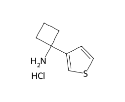 Cl.NC1(c2ccsc2)CCC1